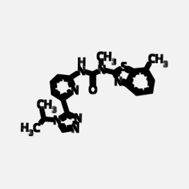 Cc1cccc2nc(N(C)C(=O)Nc3cccc(-c4nncn4C(C)C)n3)sc12